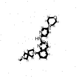 CN1CC2(CCN(c3cccc4cnc(Nc5ccc(N6CCOCC6)cn5)nc34)C2)C1